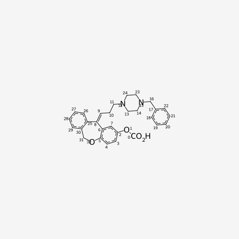 O=C(O)Oc1ccc2c(c1)C(=CCCN1CCN(Cc3ccccc3)CC1)c1ccccc1CO2